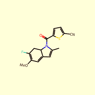 COC1=C(F)CC2C(=C1)[C]=C(C)N2C(=O)c1ccc(C#N)s1